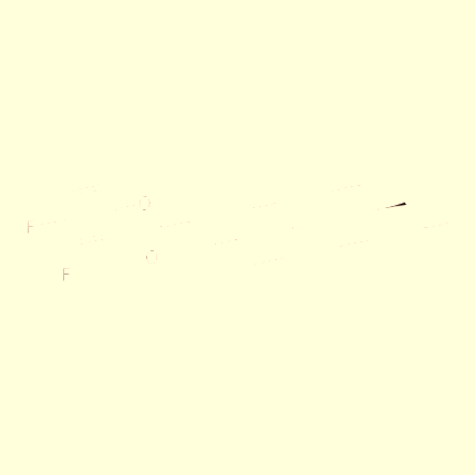 CCC[C@H]1CC[C@H](C2CCC(CCC(=O)Oc3ccc(F)c(F)c3)CC2)CC1